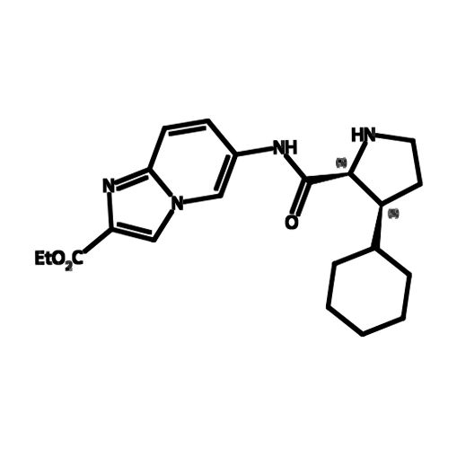 CCOC(=O)c1cn2cc(NC(=O)[C@H]3NCC[C@H]3C3CCCCC3)ccc2n1